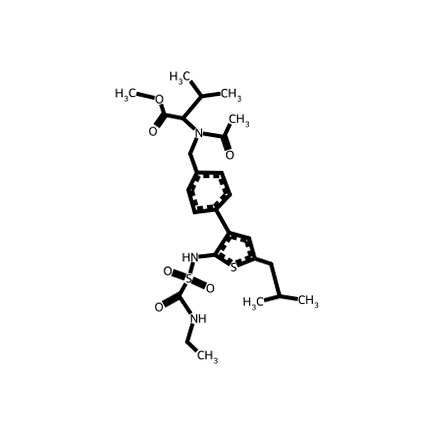 CCNC(=O)S(=O)(=O)Nc1sc(CC(C)C)cc1-c1ccc(CN(C(C)=O)C(C(=O)OC)C(C)C)cc1